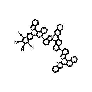 N#Cc1c(C#N)c(C#N)c2cc3c(cc2c1C#N)c1cc(-c2cccc4c2cn2c5cc6ccccc6cc5c5ccc6c(-c7cccc8c7cn7c9nc%10ccccc%10cc9c9ccc%10ccccc%10c9c87)cccc6c5c42)c2ccccc2c1c1c2ccccc2cn31